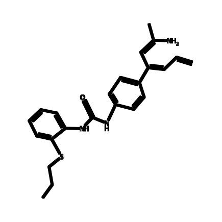 C=C/C=C(\C=C(\C)N)c1ccc(NC(=O)Nc2ccccc2SCCC)cc1